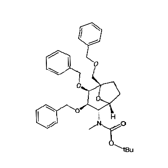 CN(C(=O)OC(C)(C)C)[C@@H]1[C@@H](OCc2ccccc2)[C@@H](OCc2ccccc2)[C@]2(COCc3ccccc3)CC[C@H]1O2